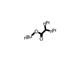 CCCCOC(=O)C(CCC)CCC